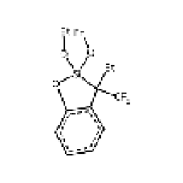 CCO[Si]1(OCC)Oc2ccccc2C1(CC)C(F)(F)F